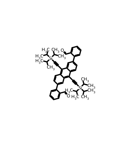 CC(C)[Si](C#Cc1c2ccc(-c3ccccc3C=O)cc2c(C#C[Si](C(C)C)(C(C)C)C(C)C)c2ccc(-c3ccccc3C=O)cc12)(C(C)C)C(C)C